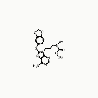 CC(C)N(CCCn1c(Sc2ccc3c(c2)OCO3)nc2c(N)ncnc21)C(=O)OC(C)(C)C